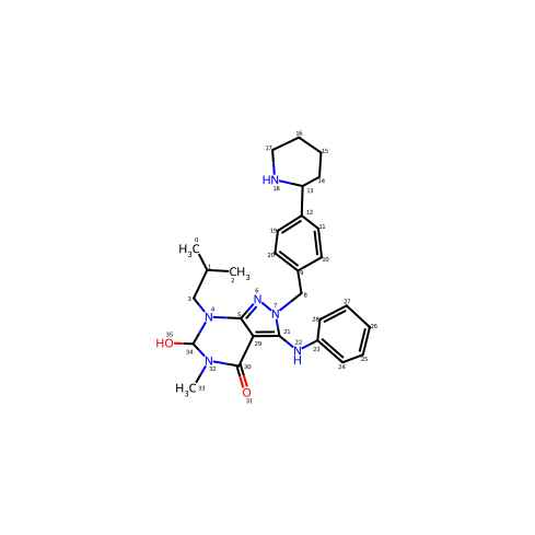 CC(C)CN1c2nn(Cc3ccc(C4CCCCN4)cc3)c(Nc3ccccc3)c2C(=O)N(C)C1O